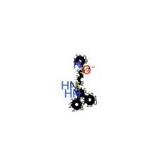 N=S(CCCC[S+]([O-])c1ccccn1)c1cc(-c2ccccc2)c(-c2ccccc2)[nH]1